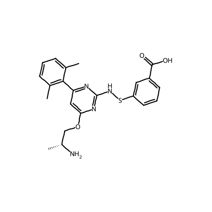 Cc1cccc(C)c1-c1cc(OC[C@@H](C)N)nc(NSc2cccc(C(=O)O)c2)n1